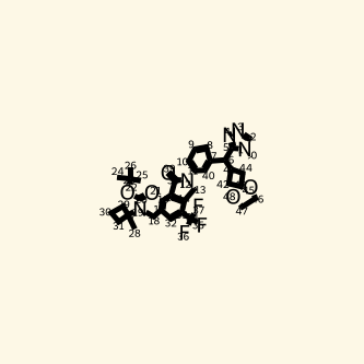 Cn1cnnc1C(c1cccc(N2Cc3c(cc(CN(C(=O)OC(C)(C)C)C4(C)CCC4)cc3C(F)(F)F)C2=O)c1)C1CC2(C1)OCCO2